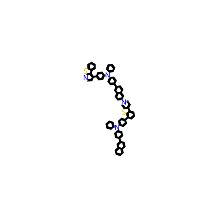 c1ccc(N(c2ccc(-c3ccc4ccccc4c3)cc2)c2ccc(-c3cccc4c3sc3c[n+](-c5ccc6cc(-c7ccc(N(c8ccccc8)c8ccc(-c9ccnc%10sc%11ccccc%11c9%10)cc8)cc7)ccc6c5)ccc34)cc2)cc1